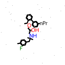 CCCc1cccc(-c2ccccc2C(C)OC[C@H](O)CNC(C)(C)Cc2ccc(C)c(F)c2)c1